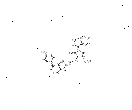 Cc1ccc(N2CCCc3cc(/C=C/C=C4\C(=O)N(c5cccc6c5CCCC6)N=C4C(=O)O)ccc32)cc1